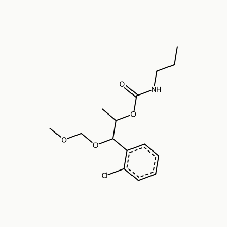 CCCNC(=O)OC(C)C(OCOC)c1ccccc1Cl